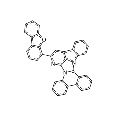 c1ccc2c(c1)B1N(c3ccccc3-2)c2nc(-c3cccc4c3oc3ccccc34)cc3c4ccccc4n1c23